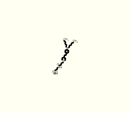 CCCCCCN(CCCCCC)c1ccc(/C=C/c2cc[n+](CCCC(=O)NCCCS(=O)(=O)O)cc2)cc1